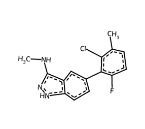 CNc1n[nH]c2ccc(-c3c(F)ccc(C)c3Cl)cc12